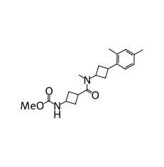 COC(=O)NC1CC(C(=O)N(C)C2CC(c3ccc(C)cc3C)C2)C1